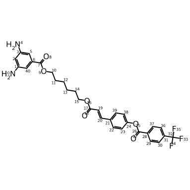 Nc1cc(N)cc(C(=O)OCCCCCCOC(=O)C=Cc2ccc(OC(=O)c3ccc(C(F)(F)F)cc3)cc2)c1